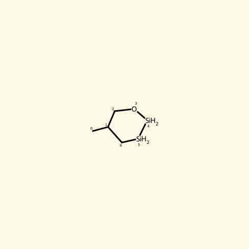 CC1CO[SiH2][SiH2]C1